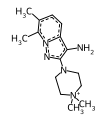 Cc1ccc2c(N)c(N3CC[N+](C)(C)CC3)nn2c1C